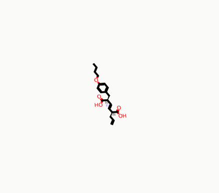 C=CC[C@@H](/C=C/[C@H](Cc1ccc(OCCCC)cc1)C(=O)O)C(=O)O